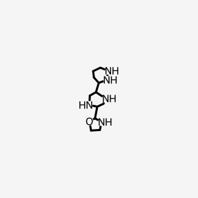 C1CNNC(C2CNC(C3NCCO3)CN2)C1